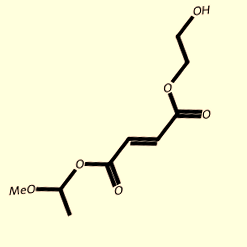 COC(C)OC(=O)C=CC(=O)OCCO